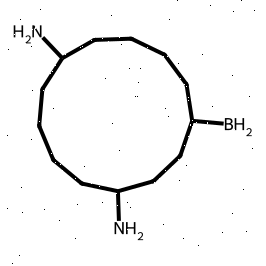 BC1CCCCC(N)CCCCC(N)CC1